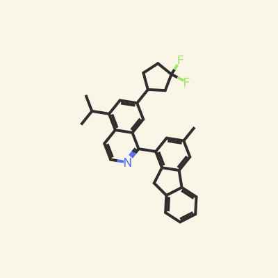 Cc1cc2c(c(-c3nccc4c(C(C)C)cc(C5CCC(F)(F)C5)cc34)c1)Cc1ccccc1-2